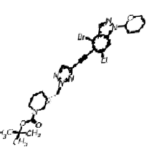 CC(C)(C)OC(=O)N1CCC[C@H](Cn2ncc(C#Cc3c(Cl)cc4c(cnn4C4CCCCO4)c3Br)n2)C1